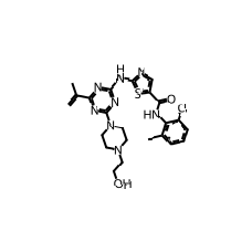 C=C(C)c1nc(Nc2ncc(C(=O)Nc3c(C)cccc3Cl)s2)nc(N2CCN(CCO)CC2)n1